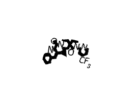 O=C(c1nc2ccccc2cc1C1CC1)N1CCC2(CC1)CCN(c1cc(C(F)(F)F)ccn1)C2=O